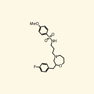 COc1ccc(S(=O)(=O)NCCCN2CCCOC(Cc3ccc(F)cc3)C2)cc1